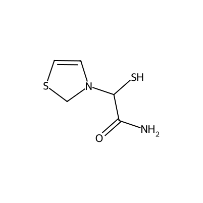 NC(=O)C(S)N1C=CSC1